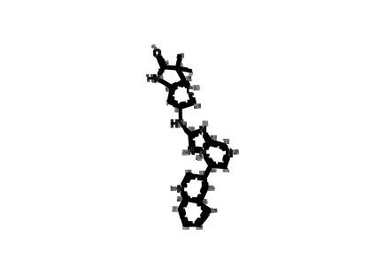 CC1(C)C(=O)Nc2cc(Nc3nc4cncc(-c5cnc6ccccc6c5)n4n3)ccc21